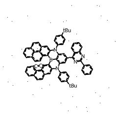 CC(C)(C)c1ccc(N2c3cc(-c4nc(-c5ccccc5)nc5ccccc45)cc4c3B(c3c2cc2ccc5cccc6ccc3c2c56)c2c(cc3ccc5cccc6ccc2c3c56)N4c2ccc(C(C)(C)C)cc2)cc1